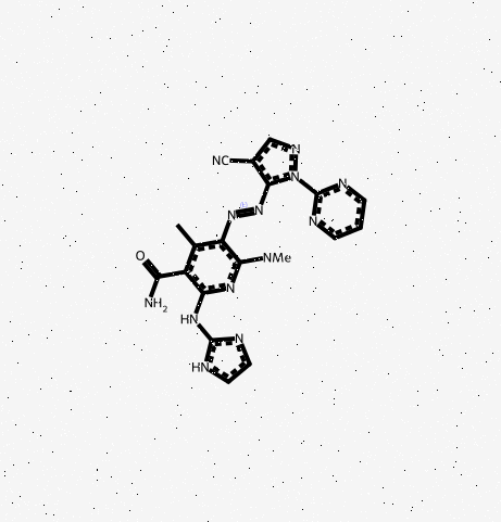 CNc1nc(Nc2ncc[nH]2)c(C(N)=O)c(C)c1/N=N/c1c(C#N)cnn1-c1ncccn1